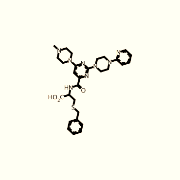 CN1CCN(c2cc(C(=O)NC(CSCc3ccccc3)C(=O)O)nc(N3CCN(c4ccccn4)CC3)n2)CC1